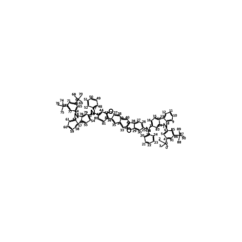 CC(C)(C)c1cc(-n2c3ccccc3c3ccc(N(c4ccccc4)c4ccc5c(c4)oc4cc6cc7c(cc6cc45)oc4cc(N(c5ccccc5)c5ccc6c8ccccc8n(-c8cc(C(C)(C)C)cc(C(C)(C)C)c8)c6c5)ccc47)cc32)cc(C(C)(C)C)c1